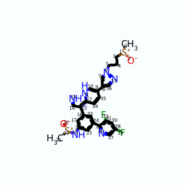 C[S+]([O-])CCCn1cc(C2=CN/C(=C(\C=N)c3cc(N[S+](C)[O-])cc(-c4ncc(F)cc4F)c3)C=C2)cn1